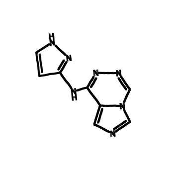 c1cc(Nc2nncn3cncc23)n[nH]1